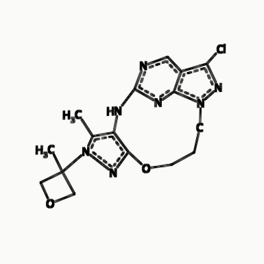 Cc1c2c(nn1C1(C)COC1)OCCCn1nc(Cl)c3cnc(nc31)N2